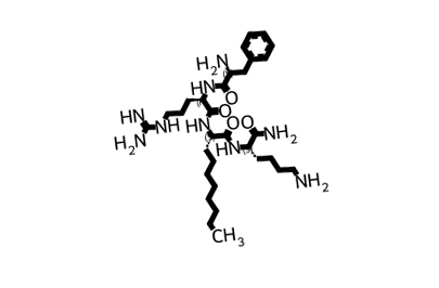 CCCCCCCC[C@H](NC(=O)[C@@H](CCCNC(=N)N)NC(=O)[C@@H](N)Cc1ccccc1)C(=O)N[C@@H](CCCCN)C(N)=O